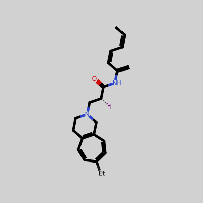 C=C(/C=C\C=C/C)NC(=O)[C@H](I)CN1CCC2=C(C=C=C(CC)C=C2)C1